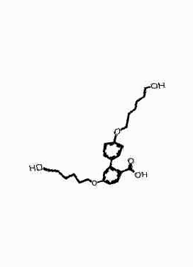 O=C(O)c1ccc(OCCCCCCO)cc1-c1ccc(OCCCCCCO)cc1